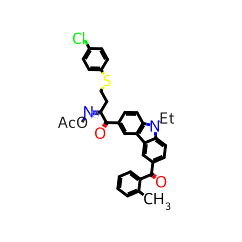 CCn1c2ccc(C(=O)/C(CCSc3ccc(Cl)cc3)=N\OC(C)=O)cc2c2cc(C(=O)c3ccccc3C)ccc21